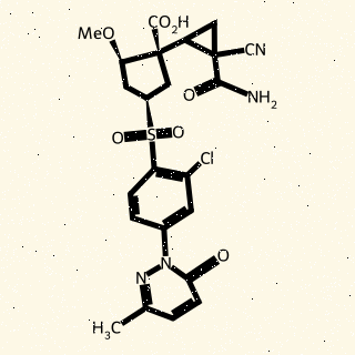 CO[C@@H]1C[C@H](S(=O)(=O)c2ccc(-n3nc(C)ccc3=O)cc2Cl)C[C@@]1(C(=O)O)C1CC1(C#N)C(N)=O